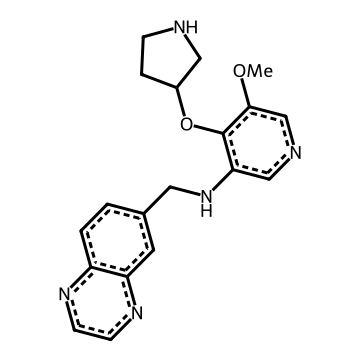 COc1cncc(NCc2ccc3nccnc3c2)c1OC1CCNC1